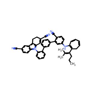 CCCC(=C(C)C)C1=C(Nc2ccc(C#N)c(-c3cccc(-c4ccccc4-n4c5c(c6cc(C#N)ccc64)CCC(C#N)=C5)c3)c2)C=CC=CC1